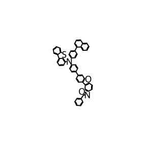 c1ccc(-c2nc3ccc4oc5cc(-c6ccc(N(c7ccc(-c8cccc9ccccc89)cc7)c7cccc8c7sc7ccccc78)cc6)ccc5c4c3o2)cc1